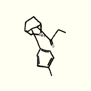 CCC(=O)C1C2CCC(CN2)CC1c1ccc(C)cc1